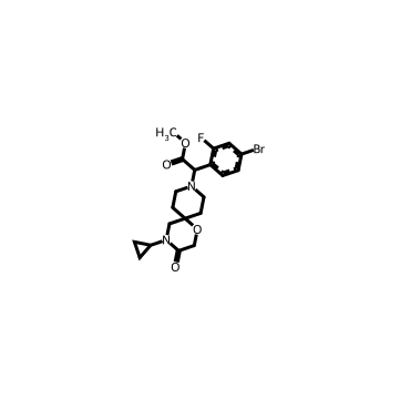 COC(=O)C(c1ccc(Br)cc1F)N1CCC2(CC1)CN(C1CC1)C(=O)CO2